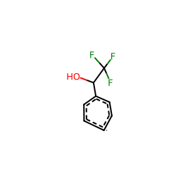 OC(c1cc[c]cc1)C(F)(F)F